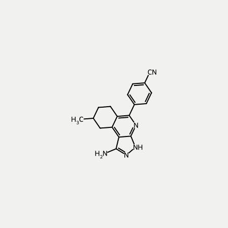 CC1CCc2c(-c3ccc(C#N)cc3)nc3[nH]nc(N)c3c2C1